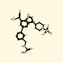 CCCCC(=O)NCc1cccc(-c2cc(C(N)=O)c3[nH]cc(C4CCN(S(=O)(=O)CC)CC4)c3c2)c1